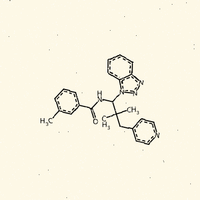 Cc1cccc(C(=O)NC(n2nnc3ccccc32)C(C)(C)Cc2ccncc2)c1